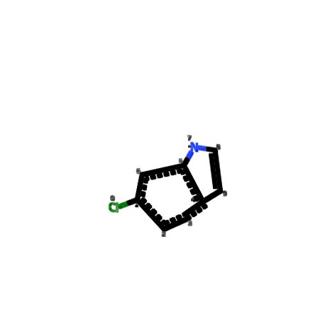 Clc1ccc2c(c1)[N]C=C2